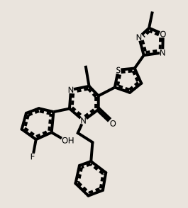 Cc1nc(-c2ccc(-c3c(C)nc(-c4cccc(F)c4O)n(CCc4ccccc4)c3=O)s2)no1